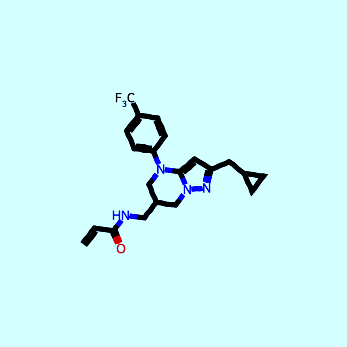 C=CC(=O)NCC1CN(c2ccc(C(F)(F)F)cc2)c2cc(CC3CC3)nn2C1